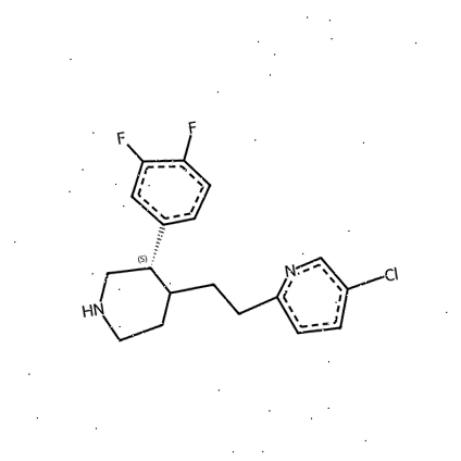 Fc1ccc([C@H]2CNCCC2CCc2ccc(Cl)cn2)cc1F